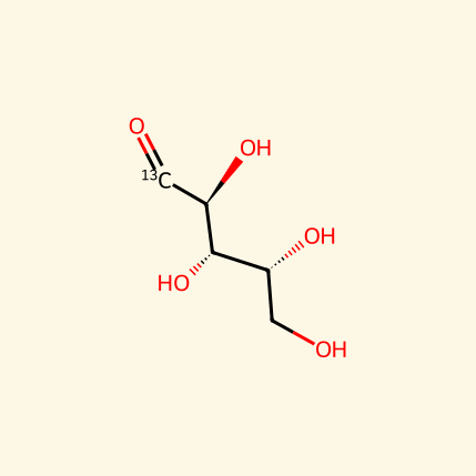 O=[13CH][C@@H](O)[C@@H](O)[C@H](O)CO